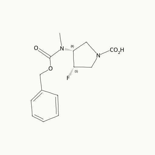 CN(C(=O)OCc1ccccc1)[C@@H]1CN(C(=O)O)C[C@@H]1F